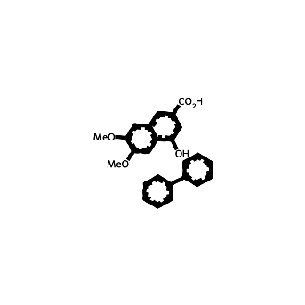 COc1cc2cc(C(=O)O)cc(O)c2cc1OC.c1ccc(-c2ccccc2)cc1